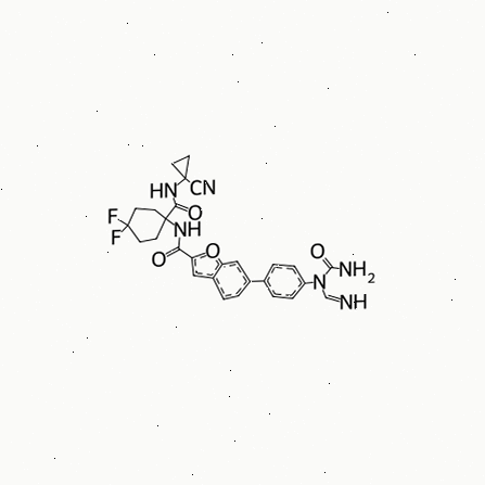 N#CC1(NC(=O)C2(NC(=O)c3cc4ccc(-c5ccc(N(C=N)C(N)=O)cc5)cc4o3)CCC(F)(F)CC2)CC1